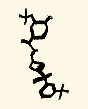 O=C(NCC1CC(S(=O)(=O)c2cccc(C(F)(F)F)c2)C1)c1ccc(Cl)c(OC(F)(F)F)c1